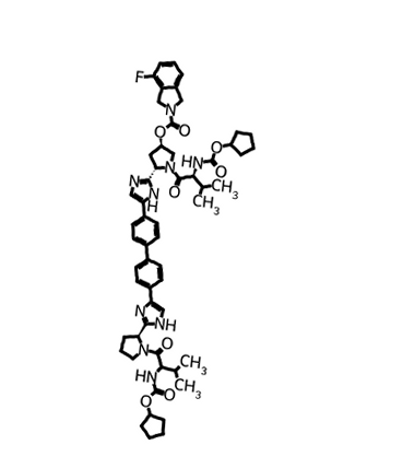 CC(C)C(NC(=O)OC1CCCC1)C(=O)N1CCC[C@H]1c1nc(-c2ccc(-c3ccc(-c4cnc([C@@H]5C[C@@H](OC(=O)N6Cc7cccc(F)c7C6)CN5C(=O)[C@@H](NC(=O)OC5CCCC5)C(C)C)[nH]4)cc3)cc2)c[nH]1